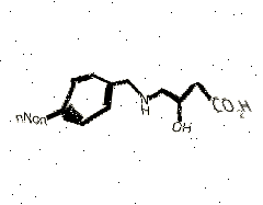 CCCCCCCCCc1ccc(CNCC(O)CC(=O)O)cc1